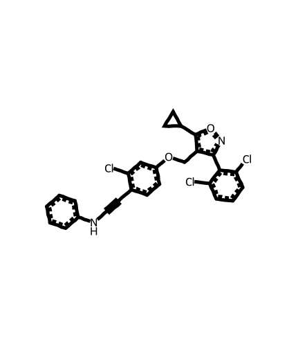 Clc1cc(OCc2c(-c3c(Cl)cccc3Cl)noc2C2CC2)ccc1C#CNc1ccccc1